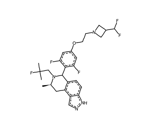 C[C@@H]1Cc2c(ccc3[nH]ncc23)C(c2c(F)cc(OCCN3CC(C(F)F)C3)cc2F)N1CC(C)(C)F